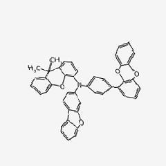 CC1(C)c2ccccc2Oc2c(N(c3ccc(-c4cccc5c4Oc4ccccc4O5)cc3)c3ccc4c(c3)oc3ccccc34)cccc21